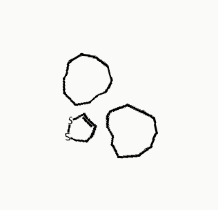 C1=CSSC1.C1CCCCCCCCC1.C1CCCCCCCCC1